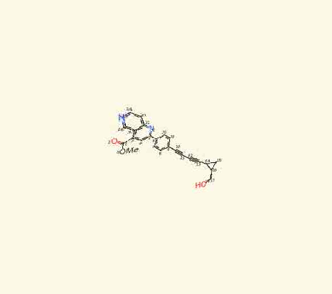 COC(=O)c1cc(-c2ccc(C#CC#CC3C[C@H]3CO)cc2)nc2ccncc12